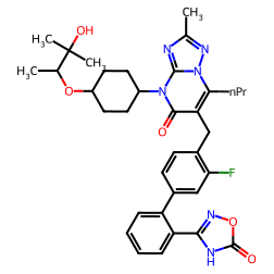 CCCc1c(Cc2ccc(-c3ccccc3-c3noc(=O)[nH]3)cc2F)c(=O)n(C2CCC(OC(C)C(C)(C)O)CC2)c2nc(C)nn12